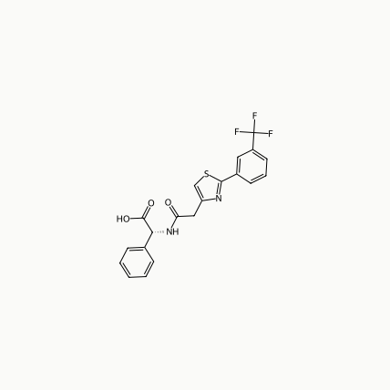 O=C(Cc1csc(-c2cccc(C(F)(F)F)c2)n1)N[C@@H](C(=O)O)c1ccccc1